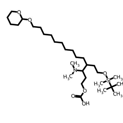 CN(C)C(CCOC(=O)O)C(CCCCCCCCCCOC1CCCCO1)CCO[Si](C)(C)C(C)(C)C